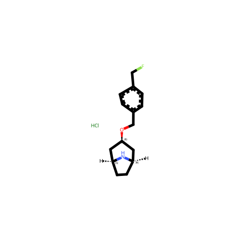 Cl.FCc1ccc(CO[C@H]2C[C@H]3CC[C@@H](C2)N3)cc1